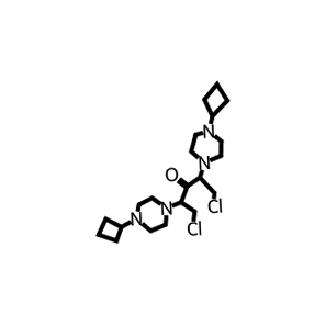 O=C(C(CCl)N1CCN(C2CCC2)CC1)C(CCl)N1CCN(C2CCC2)CC1